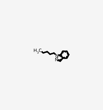 CCCCCn1ncc2ccccc21